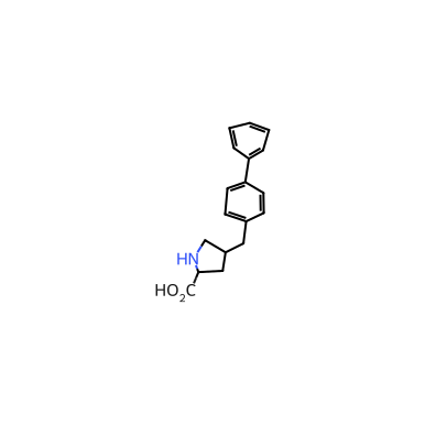 O=C(O)C1CC(Cc2ccc(-c3ccccc3)cc2)CN1